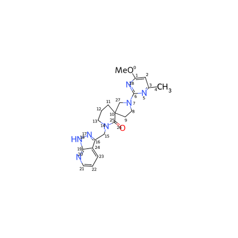 COc1cc(C)nc(N2CCC3(CCCN(Cc4n[nH]c5ncccc45)C3=O)C2)n1